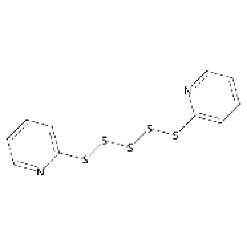 c1ccc(SSSSSc2ccccn2)nc1